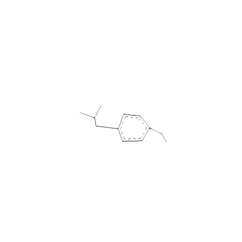 CCc1ccc(CC(Cl)Cl)cc1